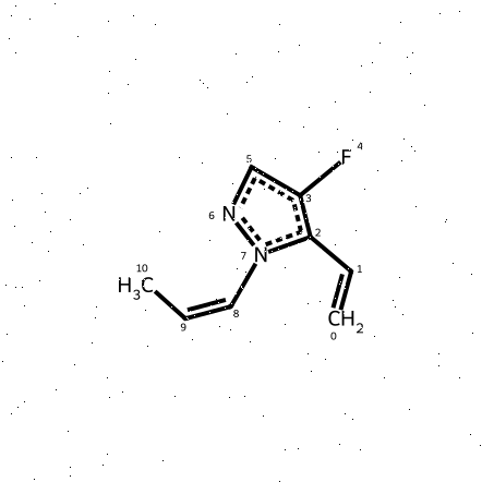 C=Cc1c(F)cnn1/C=C\C